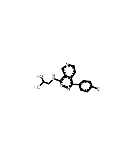 CC(O)CNc1nnc(-c2ccc(Cl)cc2)c2ccncc12